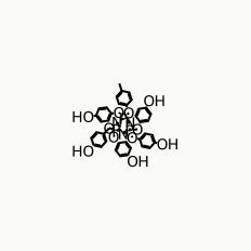 Cc1ccc(OP2(Oc3ccc(O)cc3)=NP(Oc3ccc(O)cc3)(Oc3ccc(O)cc3)=NP(Oc3ccc(O)cc3)(Oc3ccc(O)cc3)=N2)cc1